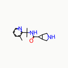 Cc1cccnc1C(C)(C)NC(=O)C1C2CNCC21